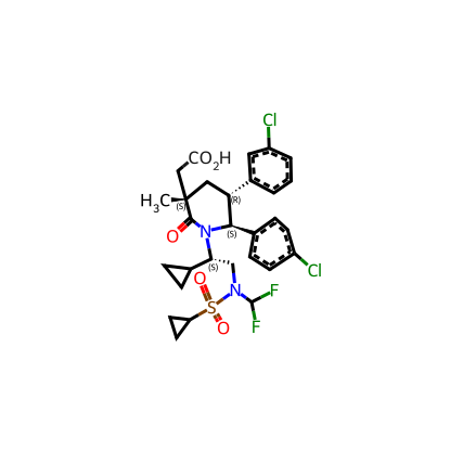 C[C@@]1(CC(=O)O)C[C@H](c2cccc(Cl)c2)[C@@H](c2ccc(Cl)cc2)N([C@H](CN(C(F)F)S(=O)(=O)C2CC2)C2CC2)C1=O